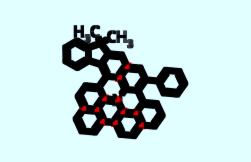 CC1(C)c2ccccc2-c2c(-c3ccccc3N(c3ccccc3-c3ccccc3)c3cccc(-c4ccccc4)c3-c3ccccc3-c3ccccc3)cccc21